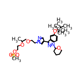 CC(COCCn1cc(-c2nn(C3CCCCO3)c3ccc(O[Si](C)(C)C(C)(C)C)cc23)cn1)OCCOS(C)(=O)=O